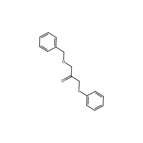 O=C(COCc1ccccc1)CSc1ccccc1